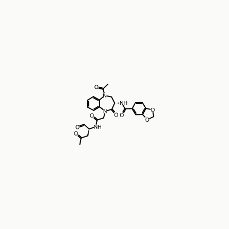 CC(=O)C[C@@H](C=O)NC(=O)CN1C(=O)[C@@H](NC(=O)c2ccc3c(c2)OCO3)CN(C(C)=O)c2ccccc21